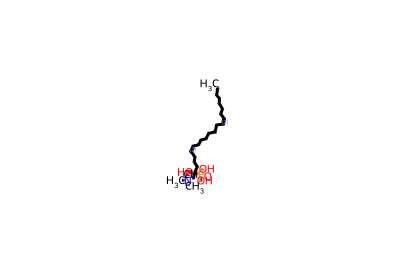 CCCCCCC/C=C\CCCCCC/C=C\CCCC(O)(C[N+](C)(C)C)P(=O)(O)O